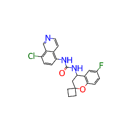 O=C(Nc1ccc(Cl)c2cnccc12)NC1CC2(CCC2)Oc2ccc(F)cc21